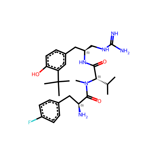 CC(C)[C@@H](C(=O)N[C@H](CNC(=N)N)Cc1ccc(O)c(C(C)(C)C)c1)N(C)C(=O)[C@@H](N)Cc1ccc(F)cc1